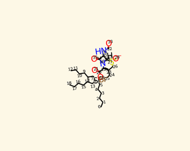 CCCCCC[Si](CCCCCC)(CCCCCC)OC(=O)C1=C(CBr)C[S+]([O-])[C@@H]2C(NC=O)C(=O)N12